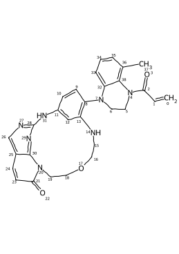 C=CC(=O)N1CCN(c2ccc3cc2NCCOCCn2c(=O)ccc4cnc(nc42)N3)c2cccc(C)c21